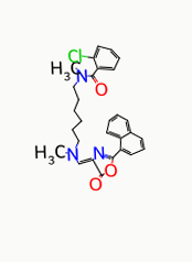 CN(C=C1N=C(c2cccc3ccccc23)OC1=O)CCCCCCN(C)C(=O)c1ccccc1Cl